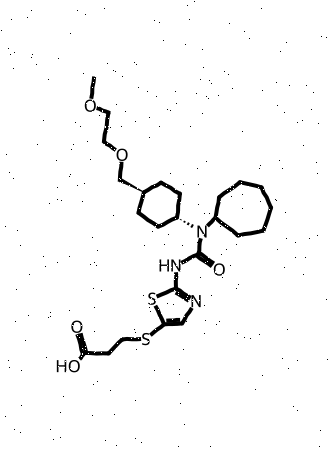 COCCOC[C@H]1CC[C@H](N(C(=O)Nc2ncc(SCCC(=O)O)s2)C2CCCCCC2)CC1